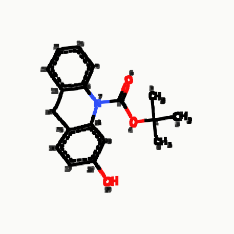 CC(C)(C)OC(=O)N1c2ccccc2Cc2ccc(O)cc21